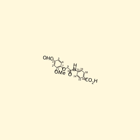 COc1cc(C=O)ccc1OCC(=O)Nc1ccc(C(=O)O)cc1